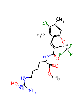 COC(=O)C(CCCCN/C(N)=N\O)NC(=O)C1=Cc2c(cc(C)c(Cl)c2C)O[C@@H]1C(F)(F)F